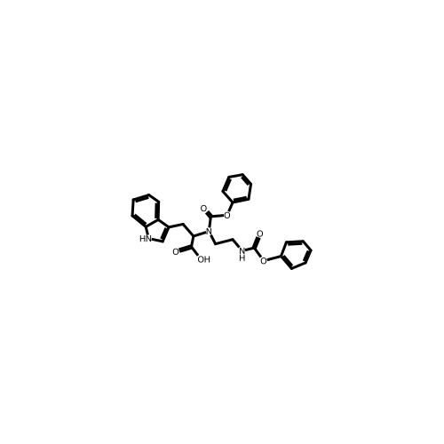 O=C(NCCN(C(=O)Oc1ccccc1)C(Cc1c[nH]c2ccccc12)C(=O)O)Oc1ccccc1